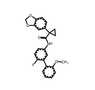 COc1ccccc1-c1cc(NC(=O)C2(c3ccc4c(c3)OCO4)CC2)ccc1F